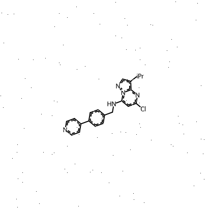 CC(C)c1cnn2c(NCc3ccc(-c4ccncc4)cc3)cc(Cl)nc12